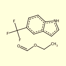 CCOC=O.FC(F)(F)c1ccc2[nH]ccc2c1